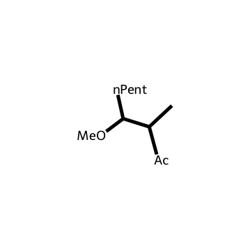 CCCCCC(OC)C(C)C(C)=O